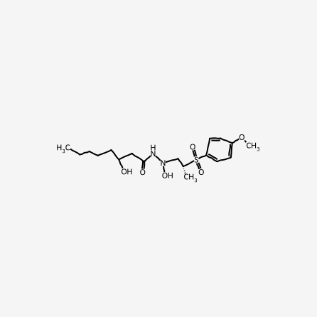 CCCCCC(O)CC(=O)NN(O)C[C@@H](C)S(=O)(=O)c1ccc(OC)cc1